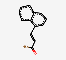 O=C(S)/C=C/c1cccc2ccccc12